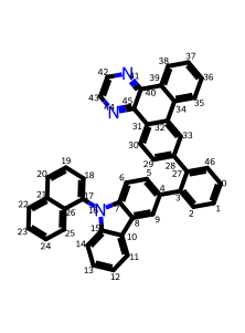 c1ccc(-c2ccc3c(c2)c2ccccc2n3-c2cccc3ccccc23)c(-c2ccc3c(c2)c2ccccc2c2nccnc32)c1